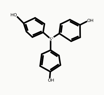 Oc1ccc([S+](c2ccc(O)cc2)c2ccc(O)cc2)cc1